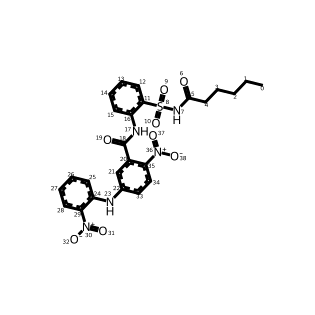 CCCCCC(=O)NS(=O)(=O)c1ccccc1NC(=O)c1cc(Nc2ccccc2[N+](=O)[O-])ccc1[N+](=O)[O-]